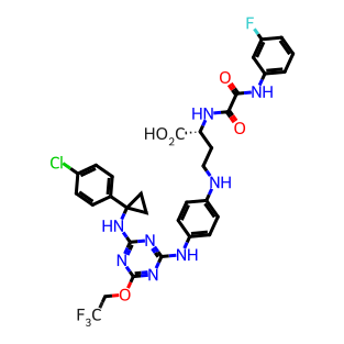 O=C(Nc1cccc(F)c1)C(=O)N[C@H](CCNc1ccc(Nc2nc(NC3(c4ccc(Cl)cc4)CC3)nc(OCC(F)(F)F)n2)cc1)C(=O)O